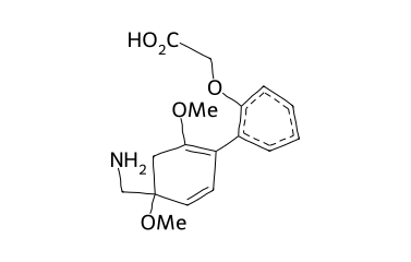 COC1=C(c2ccccc2OCC(=O)O)C=CC(CN)(OC)C1